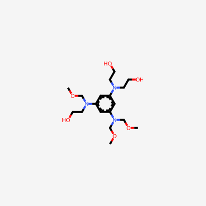 COCN(CCO)c1cc(N(CCO)CCO)cc(N(COC)COC)c1